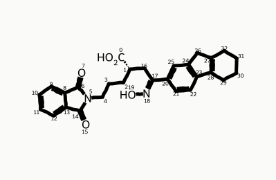 O=C(O)[C@@H](CCCN1C(=O)c2ccccc2C1=O)CC(=NO)c1ccc2c(c1)CC1=C2CCCC1